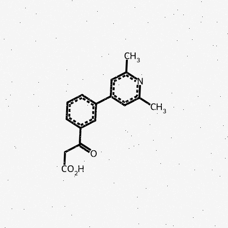 Cc1cc(-c2cccc(C(=O)CC(=O)O)c2)cc(C)n1